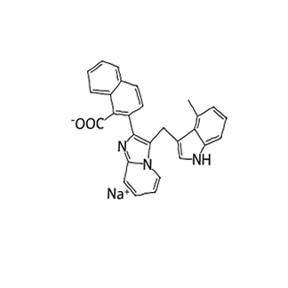 Cc1cccc2[nH]cc(Cc3c(-c4ccc5ccccc5c4C(=O)[O-])nc4ccccn34)c12.[Na+]